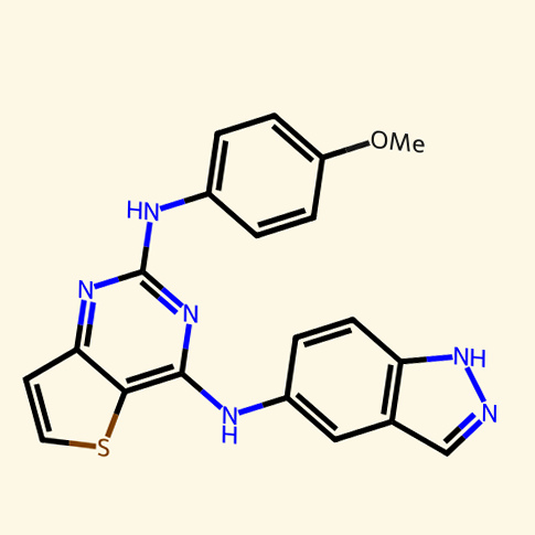 COc1ccc(Nc2nc(Nc3ccc4[nH]ncc4c3)c3sccc3n2)cc1